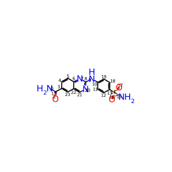 NC(=O)c1ccc2nc(Nc3ccc(S(N)(=O)=O)cc3)ncc2c1